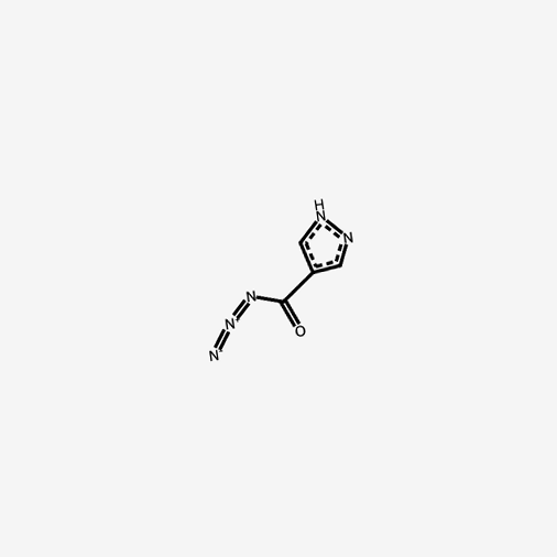 [N-]=[N+]=NC(=O)c1cn[nH]c1